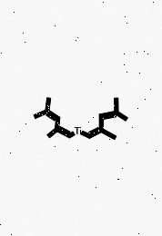 CC(C)=C/C(C)=[CH]\[Ti]/[CH]=C(/C)C=C(C)C